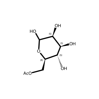 CC(=O)OC[C@H]1OC(O)[C@@H](O)[C@@H](O)[C@@H]1O